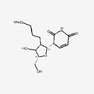 COCCCC1C(O)[C@@H](CO)O[C@H]1n1ccc(=O)[nH]c1=O